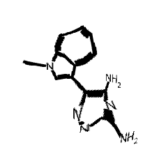 Cn1cc(-c2nnc(N)nc2N)c2ccccc21